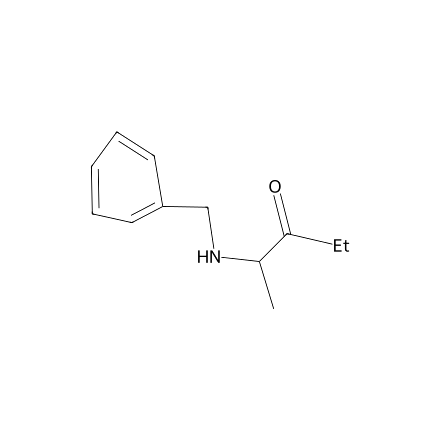 CCC(=O)C(C)NCc1ccccc1